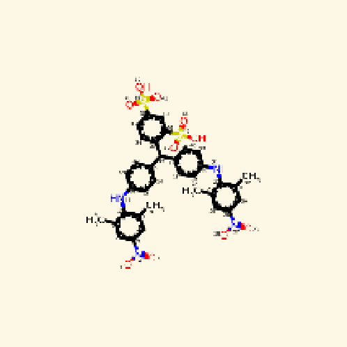 Cc1cc([N+](=O)[O-])cc(C)c1Nc1ccc(C(c2ccc(Nc3c(C)cc([N+](=O)[O-])cc3C)cc2)c2ccc(S(=O)(=O)O)cc2S(=O)(=O)O)cc1